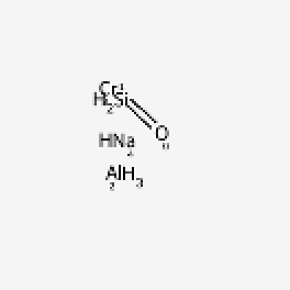 O=[SiH2].[AlH3].[Cr].[NaH]